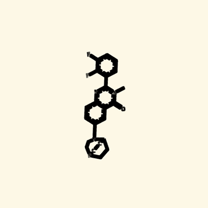 Cn1c(-c2cccc(F)c2F)nc2ccc(N3CCN4CCC3CC4)cc2c1=O